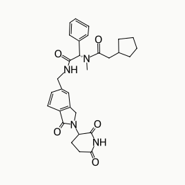 CN(C(=O)CC1CCCC1)[C@H](C(=O)NCc1ccc2c(c1)CN(C1CCC(=O)NC1=O)C2=O)c1ccccc1